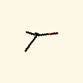 CCCCCCCCCCCCCCCCCn1cc[n+](CCCCCCCC)c1CCCCCCCCCCCCCCCC